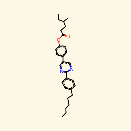 CCCCCCc1ccc(-c2ncc(-c3ccc(OC(=O)CCC(C)CC)cc3)cn2)cc1